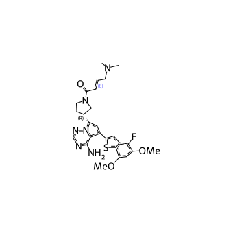 COc1cc(OC)c2sc(-c3cc([C@@H]4CCN(C(=O)/C=C/CN(C)C)C4)n4ncnc(N)c34)cc2c1F